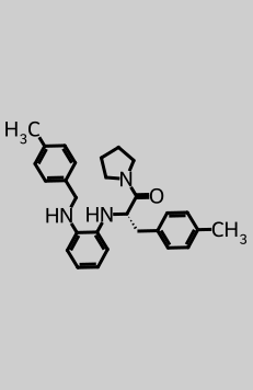 Cc1ccc(CNc2ccccc2N[C@@H](Cc2ccc(C)cc2)C(=O)N2CCCC2)cc1